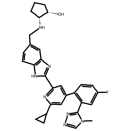 Cn1cnnc1-c1cc(F)ccc1-c1cc(-c2nc3cc(CN[C@@H]4CCC[C@@H]4O)ccc3[nH]2)nc(C2CC2)c1